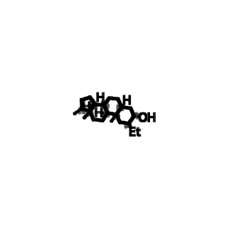 CC[C@H]1C[C@@]2(C)[C@@H](CC[C@@H]3[C@@H]2CC[C@]2(C)[C@@H](C)CC[C@@H]32)C[C@@H]1O